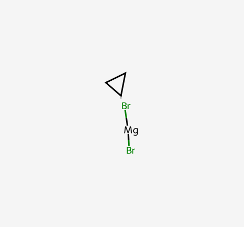 [Br][Mg][Br].[CH]1CC1